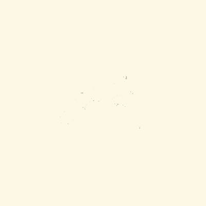 C[C@]1(O)C[C@@H](n2nc(-c3ccc4ccc(-c5ccccc5)nc4c3F)c(C(N)=O)c2N)C1